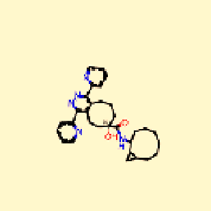 O=C(NC1CCCCCCC2CC21)[C@]1(O)CCCc2c(-c3ccccn3)nnc(-c3ccccn3)c2CC1